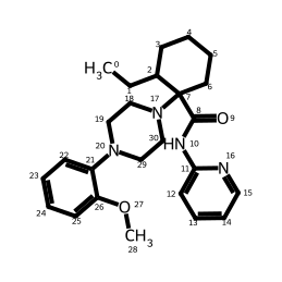 CCC1CCCCC1(C(=O)Nc1ccccn1)N1CCN(c2ccccc2OC)CC1